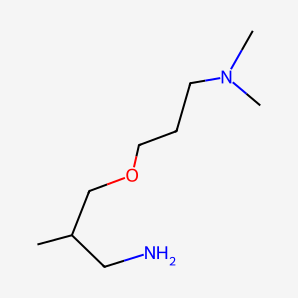 CC(CN)COCCCN(C)C